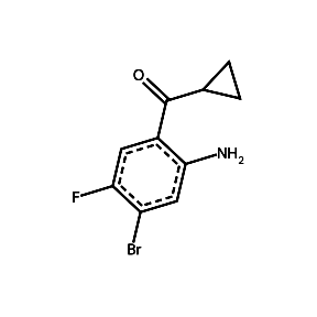 Nc1cc(Br)c(F)cc1C(=O)C1CC1